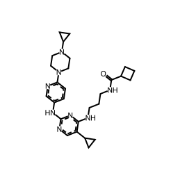 O=C(NCCCNc1nc(Nc2ccc(N3CCN(C4CC4)CC3)nc2)ncc1C1CC1)C1CCC1